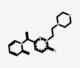 C=C1C=CC=CN1C(=C)c1ccc(=O)n(CCN2CCOCC2)n1